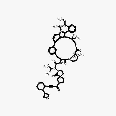 CCn1c(-c2cccnc2[C@H](C)OC)c2c3cc(ccc31)-c1cccc(c1)CC(NC(=O)[C@H](C(C)C)N1CC[C@]3(CCN(C(=O)C#C[C@@H]4COCCN4C4COC4)C3)C1=O)C(=O)N1CCC[C@@]([SiH3])(N1)C(=O)OCC(C)(C)C2